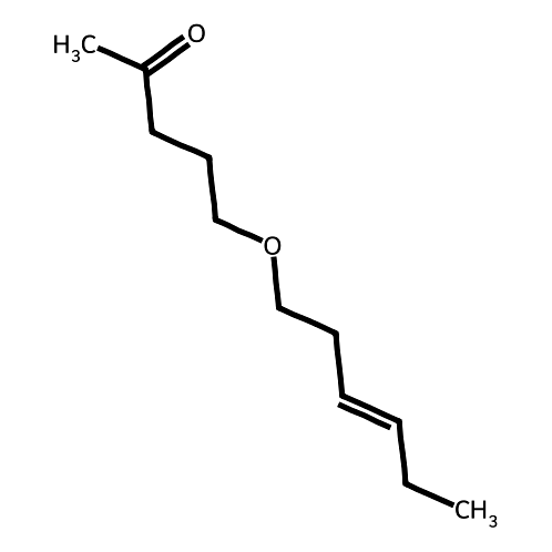 CCC=CCCOCCCC(C)=O